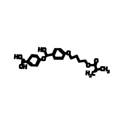 C=C(C)C(=O)OCCCCOc1ccc(C(O)Oc2ccc(B(O)O)cc2)cc1